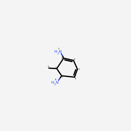 CC1C(N)=CC=CC1N